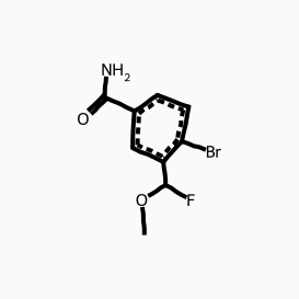 COC(F)c1cc(C(N)=O)ccc1Br